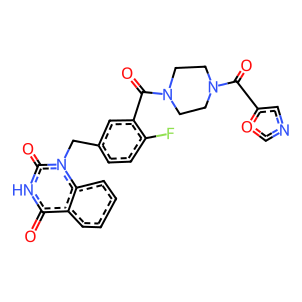 O=C(c1cnco1)N1CCN(C(=O)c2cc(Cn3c(=O)[nH]c(=O)c4ccccc43)ccc2F)CC1